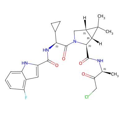 C[C@H](NC(=O)[C@@H]1[C@@H]2[C@H](CN1C(=O)[C@@H](NC(=O)c1cc3c(F)cccc3[nH]1)C1CC1)C2(C)C)C(=O)CCl